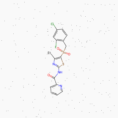 CCc1nc(NC(=O)c2ccccn2)sc1S(=O)(=O)Cc1ccc(Cl)cc1F